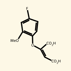 COc1cc(F)ccc1O/C(=C/C(=O)O)C(=O)O